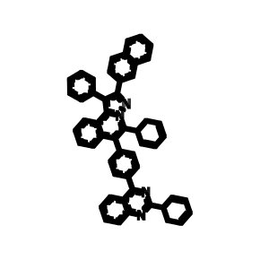 C1=CCC(c2nc(-c3ccc(-c4c(C5C=CC=CC5)n5nc(-c6ccc7ccccc7c6)c(-c6ccccc6)c5c5ccccc45)cc3)c3ccccc3n2)C=C1